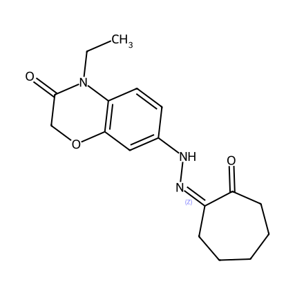 CCN1C(=O)COc2cc(N/N=C3/CCCCCC3=O)ccc21